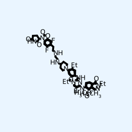 CCOc1cc(N2CCC(NCCNCCc3c(F)cc4c(oc(=O)n4C4CCC(=O)NC4=O)c3F)CC2)c(CC)cc1Nc1ncc(Br)c(Nc2ccc3c(=O)n(CC)ncc3c2P(C)(C)=O)n1